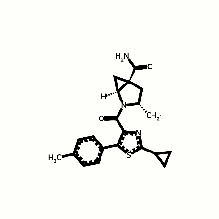 [CH2][C@H]1C[C@@]2(C(N)=O)C[C@@H]2N1C(=O)c1nc(C2CC2)sc1-c1ccc(C)cc1